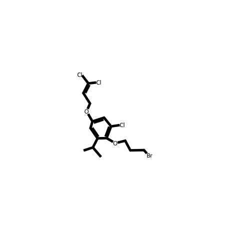 CC(C)c1cc(OCC=C(Cl)Cl)cc(Cl)c1OCCCBr